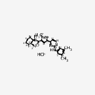 Cc1cc(C)cc(Nc2nccc(-c3cc(C(=O)NC4CCCCC4N)n(C)n3)n2)c1.Cl